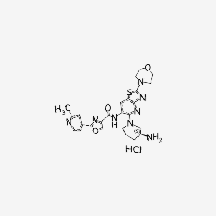 Cc1cc(-c2nc(C(=O)Nc3cc4sc(N5CCOCC5)nc4nc3N3CCC[C@H](N)C3)co2)ccn1.Cl